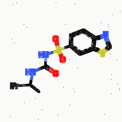 CC(C)C(C)NC(=O)NS(=O)(=O)c1ccc2ncsc2c1